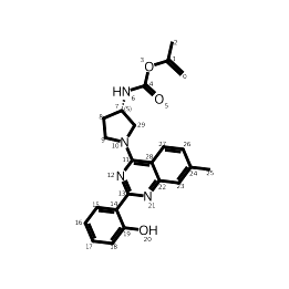 C=C(C)OC(=O)N[C@H]1CCN(c2nc(-c3ccccc3O)nc3cc(C)ccc23)C1